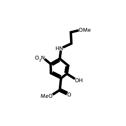 COCCNc1cc(O)c(C(=O)OC)cc1[N+](=O)[O-]